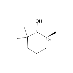 C[C@H]1CCCC(C)(C)N1O